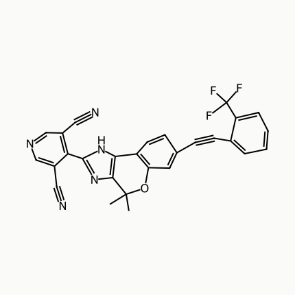 CC1(C)Oc2cc(C#Cc3ccccc3C(F)(F)F)ccc2-c2[nH]c(-c3c(C#N)cncc3C#N)nc21